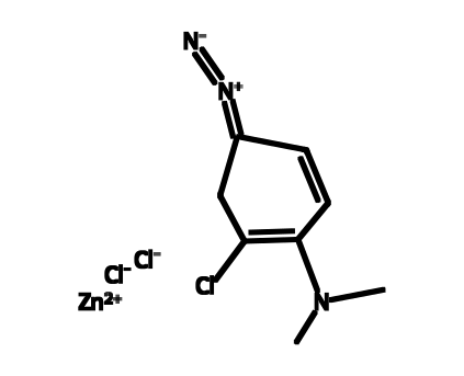 CN(C)C1=C(Cl)CC(=[N+]=[N-])C=C1.[Cl-].[Cl-].[Zn+2]